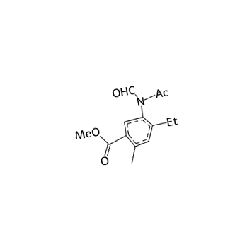 CCc1cc(C)c(C(=O)OC)cc1N(C=O)C(C)=O